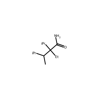 CCC(C(N)=O)(C(C)C)C(C)C(C)C